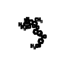 COc1ccc(C(=O)N2CCc3c(cccc3OC(=O)CC(C)c3cc(OC)c4c(c3)nnn4C)C2)cc1